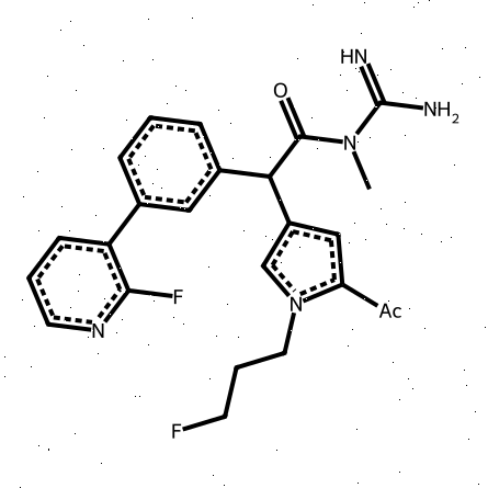 CC(=O)c1cc(C(C(=O)N(C)C(=N)N)c2cccc(-c3cccnc3F)c2)cn1CCCF